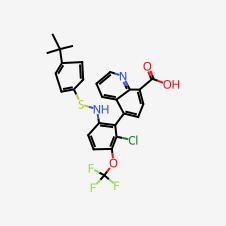 CC(C)(C)c1ccc(SNc2ccc(OC(F)(F)F)c(Cl)c2-c2ccc(C(=O)O)c3ncccc23)cc1